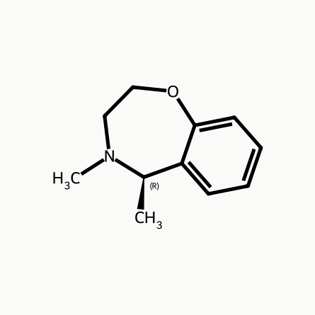 C[C@@H]1c2ccccc2OCCN1C